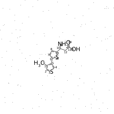 Cc1cscc1-c1ccc(C(N)CC(=O)O)s1